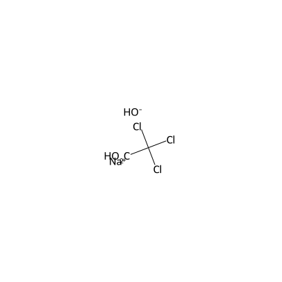 O=C(O)C(Cl)(Cl)Cl.[Na+].[OH-]